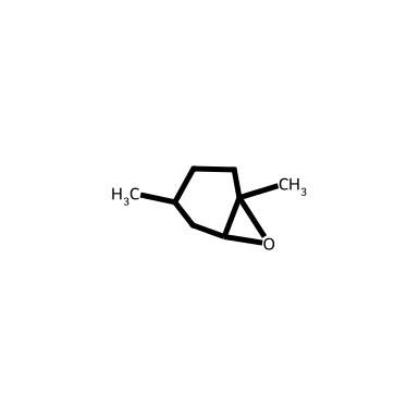 CC1CCC2(C)OC2C1